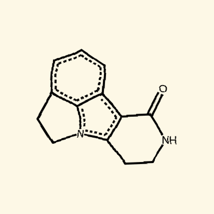 O=C1NCCc2c1c1cccc3c1n2CC3